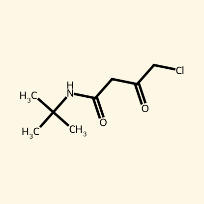 CC(C)(C)NC(=O)CC(=O)CCl